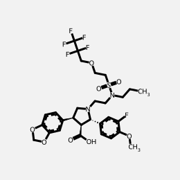 CCCN(CCN1C[C@H](c2ccc3c(c2)OCO3)[C@H](C(=O)O)[C@H]1c1ccc(OC)c(F)c1)S(=O)(=O)CCOCC(F)(F)C(F)(F)F